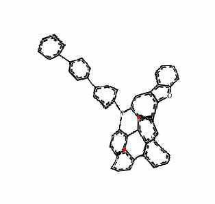 c1ccc(-c2ccc(-c3ccc(N(c4ccc5oc6ccccc6c5c4)c4ccccc4-c4cccc5cccc(-c6ccccc6)c45)cc3)cc2)cc1